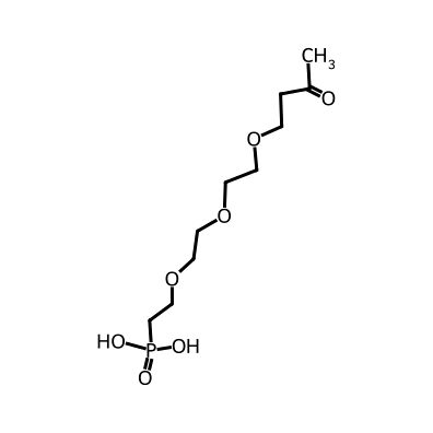 CC(=O)CCOCCOCCOCCP(=O)(O)O